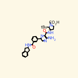 CC(C)(C)C1[C@@H](NC(=O)c2nc(-c3cccc(C(=O)NC4Cc5ccccc5C4)c3)cnc2N)CCN1C(=O)O